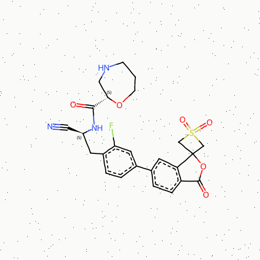 N#C[C@H](Cc1ccc(-c2ccc3c(c2)C2(CS(=O)(=O)C2)OC3=O)cc1F)NC(=O)[C@@H]1CNCCCO1